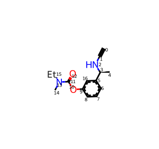 C#CN[C@@H](C)c1cccc(OC(=O)N(C)CC)c1